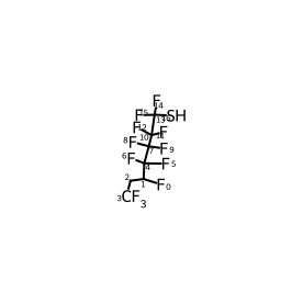 FC(CC(F)(F)F)C(F)(F)C(F)(F)C(F)(F)C(F)(F)S